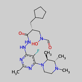 Cc1nc(NNC(=O)[C@H](CC2CCCC2)CN(O)C=O)c(F)c(N2CCN(C)[C@@H](C)[C@@H]2C)n1